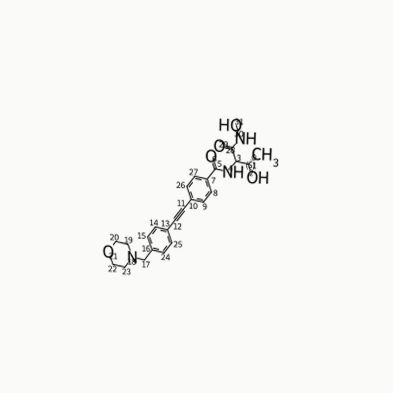 C[C@H](O)C(NC(=O)c1ccc(C#Cc2ccc(CN3CCOCC3)cc2)cc1)C(=O)NO